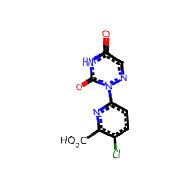 O=C(O)c1nc(-n2ncc(=O)[nH]c2=O)ccc1Cl